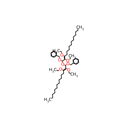 CCCCCCCCCCCCC(OCC)=C(OCC)C(OCc1ccccc1)OC(OCc1ccccc1)C(OCC)=C(CCCCCCCCCCCC)OCC